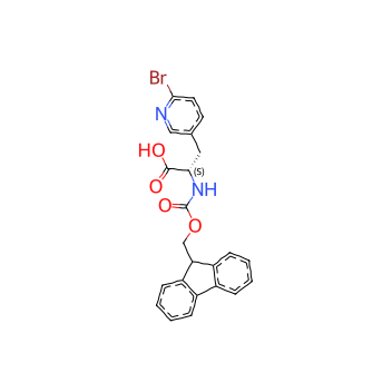 O=C(N[C@@H](Cc1ccc(Br)nc1)C(=O)O)OCC1c2ccccc2-c2ccccc21